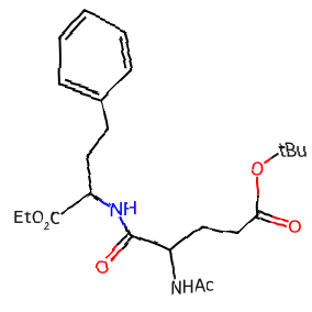 CCOC(=O)C(CCc1ccccc1)NC(=O)C(CCC(=O)OC(C)(C)C)NC(C)=O